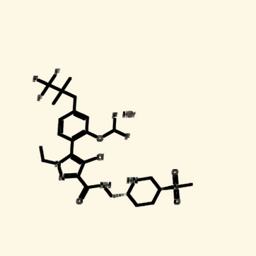 Br.CCn1nc(C(=O)NC[C@H]2CC[C@H](S(C)(=O)=O)CN2)c(Cl)c1-c1ccc(CC(C)(C)C(F)(F)F)cc1OC(F)F